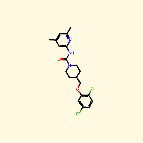 Cc1cc(C)nc(NC(=O)N2CCC(COc3cc(Cl)ccc3Cl)CC2)c1